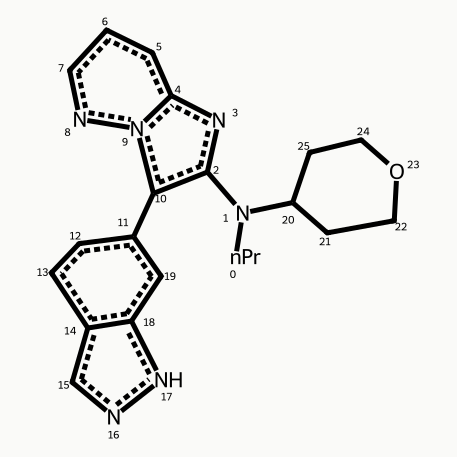 CCCN(c1nc2cccnn2c1-c1ccc2cn[nH]c2c1)C1CCOCC1